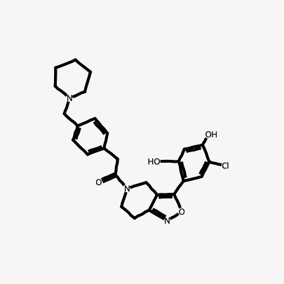 O=C(Cc1ccc(CN2CCCCC2)cc1)N1CCc2noc(-c3cc(Cl)c(O)cc3O)c2C1